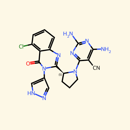 N#Cc1c(N)nc(N)nc1N1CCC[C@H]1c1nc2cccc(Cl)c2c(=O)n1-c1cn[nH]c1